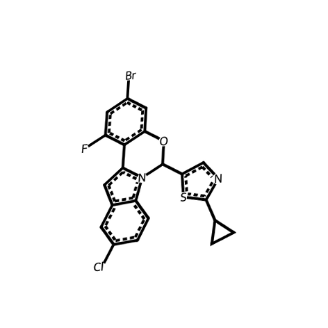 Fc1cc(Br)cc2c1-c1cc3cc(Cl)ccc3n1C(c1cnc(C3CC3)s1)O2